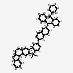 CC1(C)c2ccc(-c3ccc4cc(-c5c6ccccc6c(-c6ccccc6)c6ccccc56)ccc4c3)cc2-c2cc3ccc4sc5ccccc5c4c3cc21